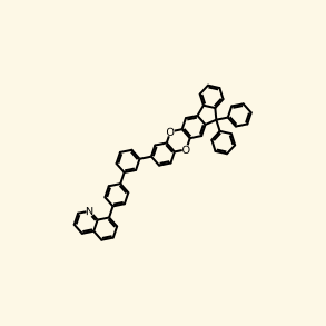 c1ccc(C2(c3ccccc3)c3ccccc3-c3cc4c(cc32)Oc2ccc(-c3cccc(-c5ccc(-c6cccc7cccnc67)cc5)c3)cc2O4)cc1